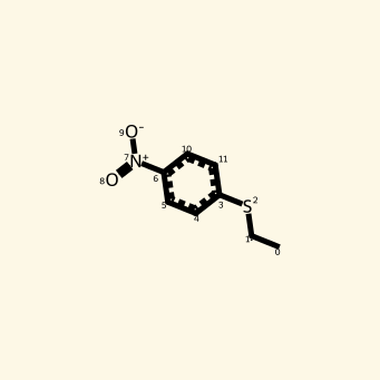 C[CH]Sc1ccc([N+](=O)[O-])cc1